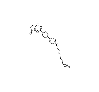 CCCCCCCCOc1ccc(-c2ccc(C(=O)ON3C(=O)CCC3=O)cc2)cc1